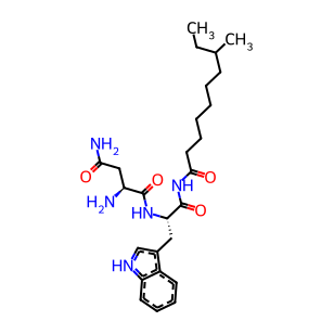 CCC(C)CCCCCCC(=O)NC(=O)[C@H](Cc1c[nH]c2ccccc12)NC(=O)[C@@H](N)CC(N)=O